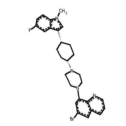 Cn1cc([C@H]2CC[C@@H](N3CCN(c4cc(Br)cc5cccnc45)CC3)CC2)c2cc(F)ccc21